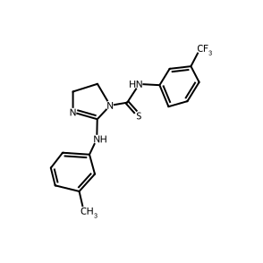 Cc1cccc(NC2=NCCN2C(=S)Nc2cccc(C(F)(F)F)c2)c1